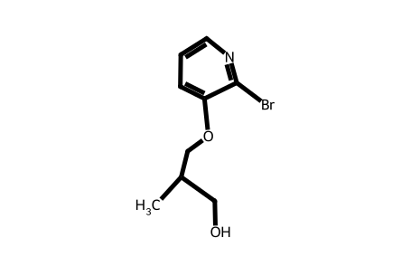 CC(CO)COc1cccnc1Br